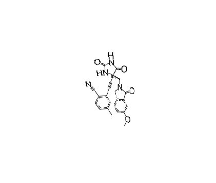 COc1ccc2c(c1)C(=O)N(C[C@@]1(C#Cc3cc(C)ccc3C#N)NC(=O)NC1=O)C2